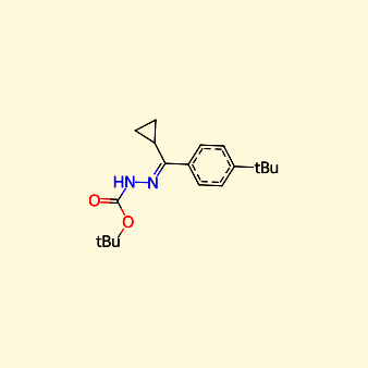 CC(C)(C)OC(=O)NN=C(c1ccc(C(C)(C)C)cc1)C1CC1